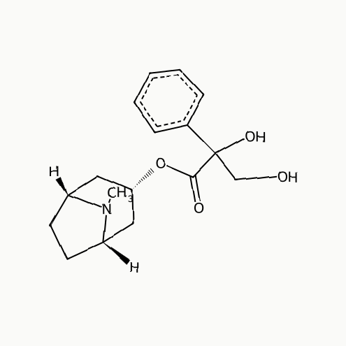 CN1[C@@H]2CC[C@H]1C[C@@H](OC(=O)C(O)(CO)c1ccccc1)C2